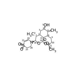 C[C@@H]1C2C[C@@H](O)[C@@H](C)C3CC[C@@]4(C)OO[C@@]23C(O[C@H]1N1C=CS(=O)(=O)CC1)O4